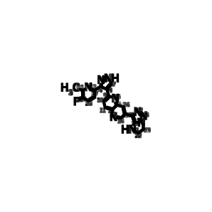 Cc1nc(-c2n[nH]cc2-c2ccc3ncc(-c4nnn5c4NCC5)cc3n2)ccc1F